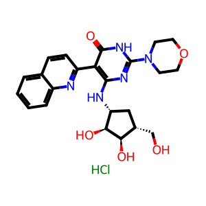 Cl.O=c1[nH]c(N2CCOCC2)nc(N[C@@H]2C[C@H](CO)[C@@H](O)[C@H]2O)c1-c1ccc2ccccc2n1